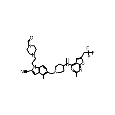 Cc1nc(NC2CCN(Cc3ccc4c(cc(C#N)n4CCN4CCN(C=O)CC4)c3C)CC2)c2cc(CC(F)(F)F)sc2n1